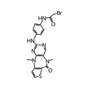 CN1C(=O)c2sccc2N(C)c2nc(Nc3ccc(NC(=O)CBr)cc3)ncc21